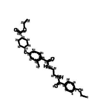 CCOc1ccc(C(=O)NCCNC(=O)c2ccc(O[C@H]3CC[C@@H](C(=O)OCC)CC3)cc2C)cc1